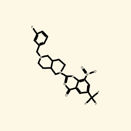 O=c1nc(N2CCC3CN(Cc4cccc(F)c4)CCC3C2)sc2c([N+](=O)[O-])cc(C(F)(F)F)cc12